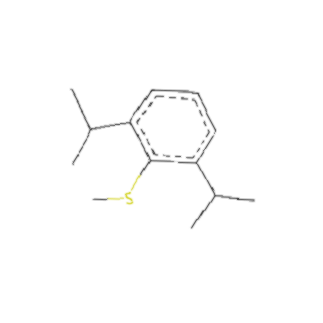 CSc1c(C(C)C)cccc1C(C)C